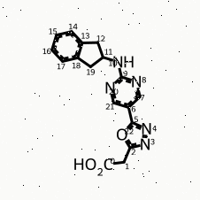 O=C(O)Cc1nnc(-c2cnc(NC3Cc4ccccc4C3)nc2)o1